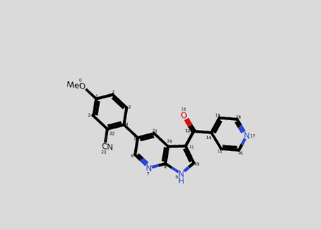 COc1ccc(-c2cnc3[nH]cc(C(=O)c4ccncc4)c3c2)c(C#N)c1